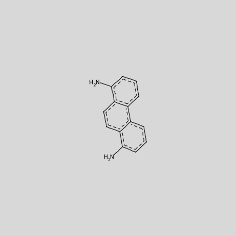 Nc1cccc2c1ccc1c(N)cccc12